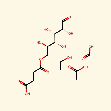 CC(=O)O.CCO.O=CO.O=C[C@H](O)[C@@H](O)[C@H](O)[C@H](O)COC(=O)CCC(=O)O